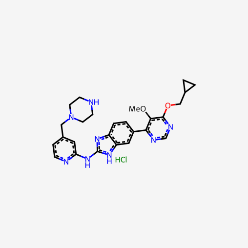 COc1c(OCC2CC2)ncnc1-c1ccc2nc(Nc3cc(CN4CCNCC4)ccn3)[nH]c2c1.Cl